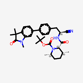 C[C@@H]1CC[C@H](C)N(C(=O)OC(C)(C)C)[C@@H]1C(=O)N[C@H](C#N)Cc1ccc(-c2ccc3c(c2)N(C)C(=O)C3(C)C)cc1